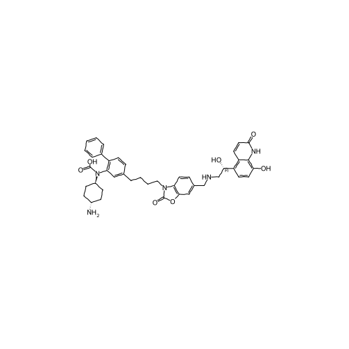 N[C@H]1CC[C@H](N(C(=O)O)c2cc(CCCCn3c(=O)oc4cc(CNC[C@H](O)c5ccc(O)c6[nH]c(=O)ccc56)ccc43)ccc2-c2ccccc2)CC1